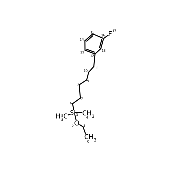 CCO[Si](C)(C)CCCCCCc1cccc(F)c1